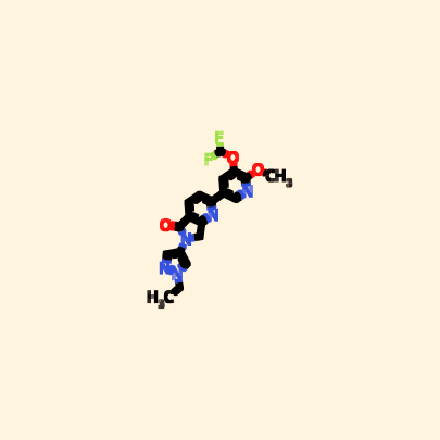 CCn1cc(N2Cc3nc(-c4cnc(OC)c(OC(F)F)c4)ccc3C2=O)cn1